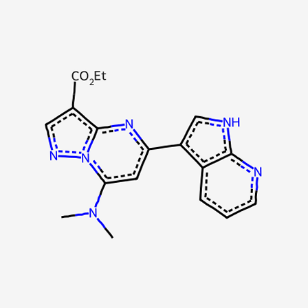 CCOC(=O)c1cnn2c(N(C)C)cc(-c3c[nH]c4ncccc34)nc12